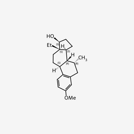 CC[C@]12CC[C@@H]3c4ccc(OC)cc4C[C@@H](C)[C@H]3[C@@H]1CC[C@@H]2O